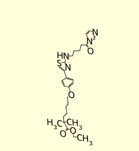 CCOC(=O)C(C)(C)CCCCCOc1ccc(-c2csc(NCCCCC(=O)n3ccnc3)n2)cc1